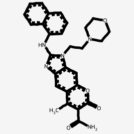 Cc1c(C(N)=O)c(=O)oc2cc3c(cc12)nc(Nc1cccc2ccccc12)n3CCN1CCOCC1